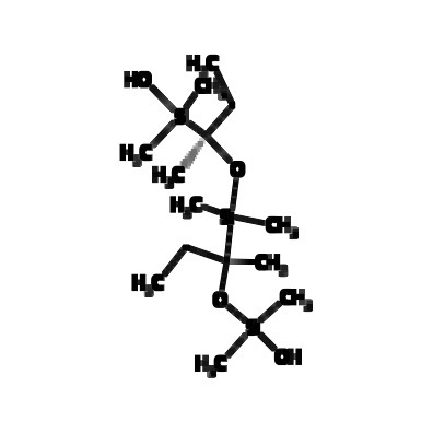 CCC(C)(O[Si](C)(C)O)[Si](C)(C)O[C@](C)(CC)[Si](C)(C)O